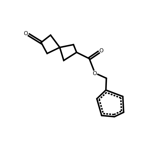 O=C1CC2(C1)CC(C(=O)OCc1ccccc1)C2